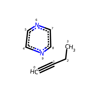 C#CCC.c1cnccn1